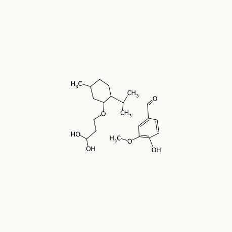 CC1CCC(C(C)C)C(OCCC(O)O)C1.COc1cc(C=O)ccc1O